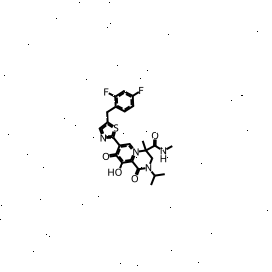 CNC(=O)C1(C)CN(C(C)C)C(=O)c2c(O)c(=O)c(-c3ncc(Cc4ccc(F)cc4F)s3)cn21